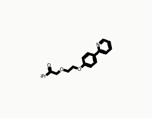 CC(C)C(=O)COCCOc1ccc(-c2ccccn2)cc1